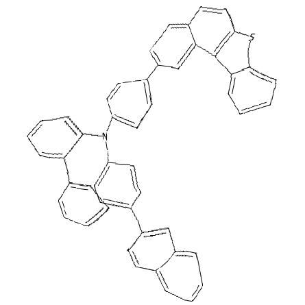 c1ccc(-c2ccccc2N(c2ccc(-c3ccc4ccccc4c3)cc2)c2ccc(-c3ccc4ccc5sc6ccccc6c5c4c3)cc2)cc1